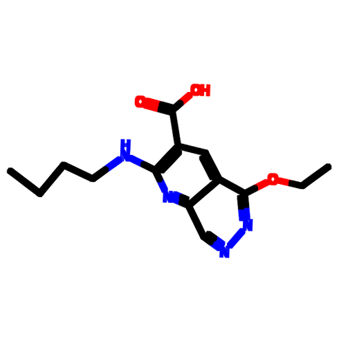 CCCCNc1nc2cnnc(OCC)c2cc1C(=O)O